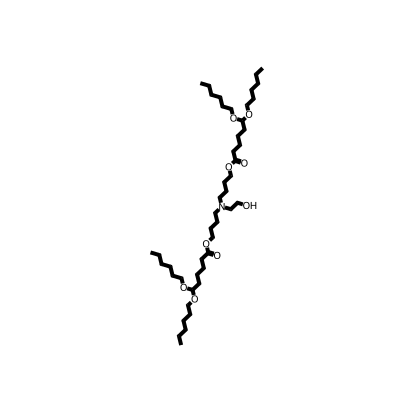 CCCCCCOC(CCCCC(=O)OCCCCN(CCO)CCCCOC(=O)CCCCC(OCCCCCC)OCCCCCC)OCCCCCC